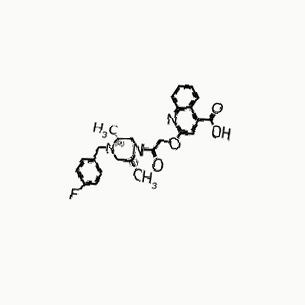 C[C@@H]1CN(C(=O)COc2cc(C(=O)O)c3ccccc3n2)[C@@H](C)CN1Cc1ccc(F)cc1